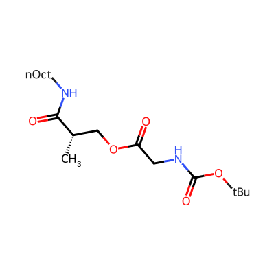 CCCCCCCCNC(=O)[C@@H](C)COC(=O)CNC(=O)OC(C)(C)C